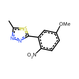 COc1ccc([N+](=O)[O-])c(-c2nnc(C)s2)c1